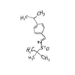 CC(C)c1ccc(/C=N/[S@+]([O-])C(C)(C)C)cc1